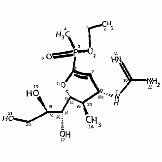 CCOP(C)(=O)C1=C[C@H](NC(=N)N)[C@@H](C)[C@H]([C@H](O)[C@H](O)CO)O1